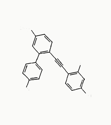 CCOC(=O)c1ccc(C#Cc2ccc(O)cc2Cl)c(-c2ccc(C#N)cc2)c1